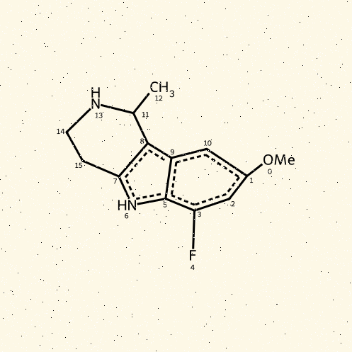 COc1cc(F)c2[nH]c3c(c2c1)C(C)NCC3